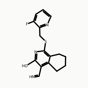 N=Cc1c(O)nc(SCc2ncccc2F)c2c1CCCC2